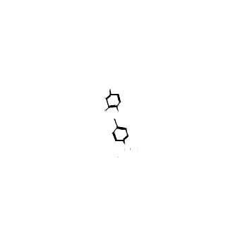 OB(O)c1ccc(COc2ccc(Cl)cc2Cl)cc1